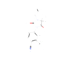 C=CCN1C(=O)N(c2ccc(C#N)c(C(F)(F)F)c2)C(=O)C1(C)C